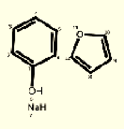 Oc1ccccc1.[NaH].c1ccoc1